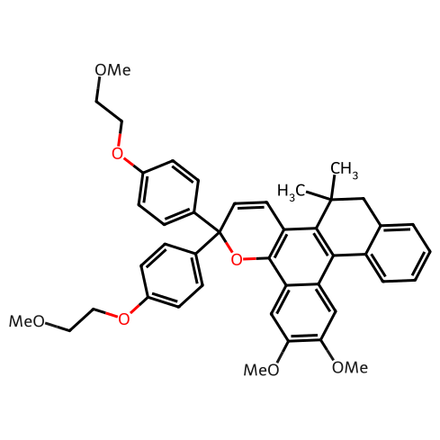 COCCOc1ccc(C2(c3ccc(OCCOC)cc3)C=Cc3c4c(c5cc(OC)c(OC)cc5c3O2)-c2ccccc2CC4(C)C)cc1